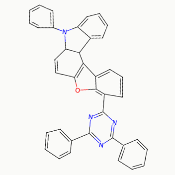 C1=CC2C(c3ccccc3N2c2ccccc2)c2c1oc1c(-c3nc(-c4ccccc4)nc(-c4ccccc4)n3)cccc21